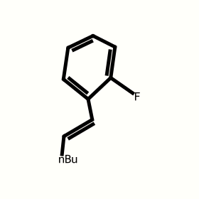 CCCC/C=C/c1ccccc1F